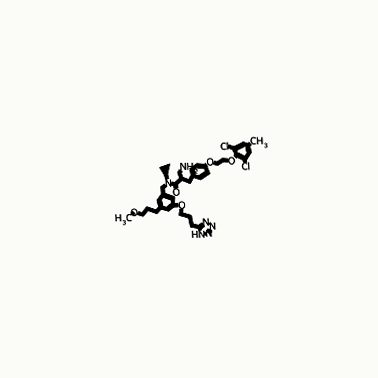 COCCCc1cc(CN(C(=O)C(CN)Cc2ccc(OCCOc3c(Cl)cc(C)cc3Cl)cc2)C2CC2)cc(OCCCc2nnn[nH]2)c1